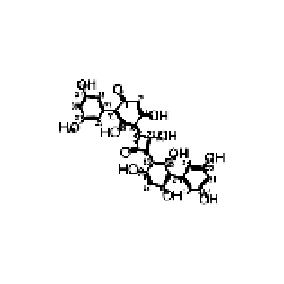 O=C1C=C(O)/C(=C2/C(=O)C(c3c(O)cc(O)c(-c4cc(O)cc(O)c4)c3O)=C2O)C(O)=C1c1cc(O)cc(O)c1